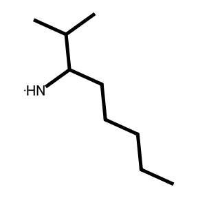 CCCCCC([NH])C(C)C